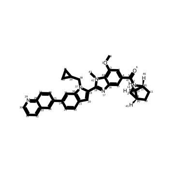 COc1cc(C(=O)N2C[C@H]3CC[C@@H]2[C@@H]3N)cc2nc(-c3cc4ccc(-c5ccc6ncccc6c5)cc4n3CC3CC3)n(C)c12